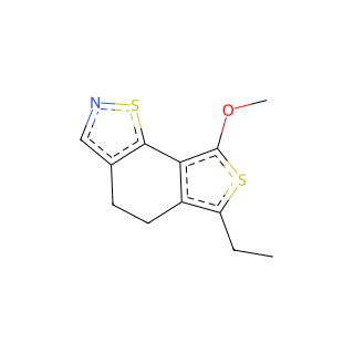 CCc1sc(OC)c2c1CCc1cnsc1-2